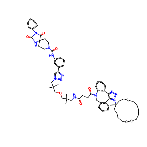 CC(C)(CNC(=O)CCC(=O)N1Cc2ccccc2-c2c(nnn2C2(C)CCCCCCCCCCCCCC2)-c2ccccc21)COCC(C)(C)Cn1cc(-c2cccc(NC(=O)N3CCC4(CC3)NC(=O)N(c3ccccc3)C4=O)c2)nn1